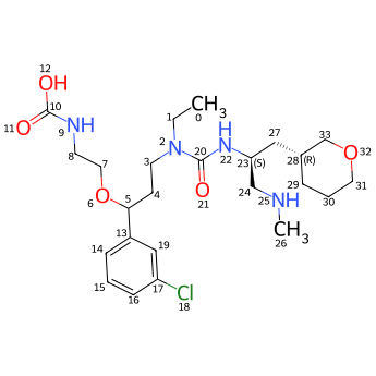 CCN(CCC(OCCNC(=O)O)c1cccc(Cl)c1)C(=O)N[C@H](CNC)C[C@H]1CCCOC1